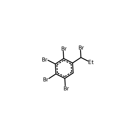 CCC(Br)c1cc(Br)c(Br)c(Br)c1Br